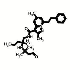 CCCC(C)(CNC(=O)c1c(C)nn2c(CCc3ccccc3)cc(C)cc12)NC(C)(C)CC=O